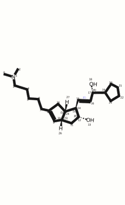 CN(C)CCCCCC1=C[C@H]2C[C@@H](O)[C@H](/C=C/[C@H](O)C3CCCC3)[C@H]2C1